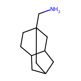 NCC12CCC3CC(CC3C1)C2